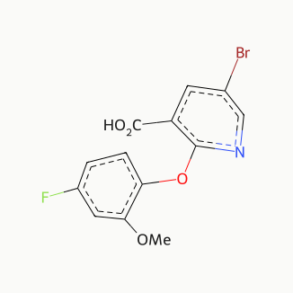 COc1cc(F)ccc1Oc1ncc(Br)cc1C(=O)O